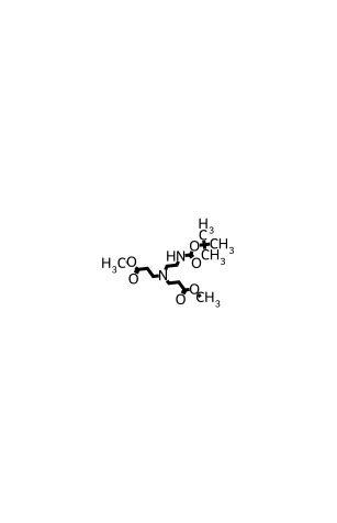 COC(=O)CCN(CCNC(=O)OC(C)(C)C)CCC(=O)OC